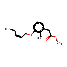 CC/C=C\COc1cccc(CC(=O)OC)c1C